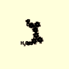 COCOc1ccc(N(c2ccccc2)c2ccc(-c3ccc(N(c4ccccc4)c4ccc(OC5CO5)cc4)cc3)cc2)cc1